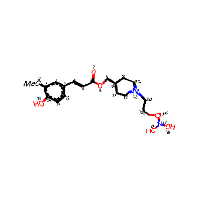 COc1cc(/C=C/C(=O)OCC2CCN(CCON(O)O)CC2)ccc1O